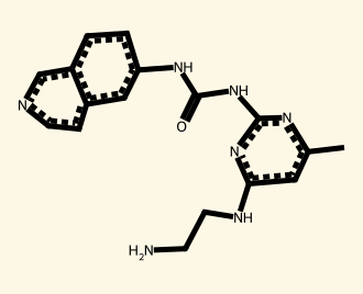 Cc1cc(NCCN)nc(NC(=O)Nc2ccc3cnccc3c2)n1